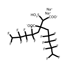 O=C([O-])C(C(CC(F)(F)C(F)(F)C(F)(F)C(F)F)(CC(F)(F)C(F)(F)C(F)(F)C(F)F)C(=O)[O-])S(=O)(=O)O.[Na+].[Na+]